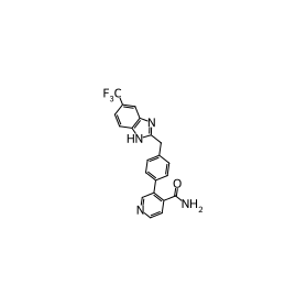 NC(=O)c1ccncc1-c1ccc(Cc2nc3cc(C(F)(F)F)ccc3[nH]2)cc1